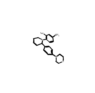 N#Cc1cc(N)ccc1N1CCCCC1c1ccc(N2CCOCC2)cc1